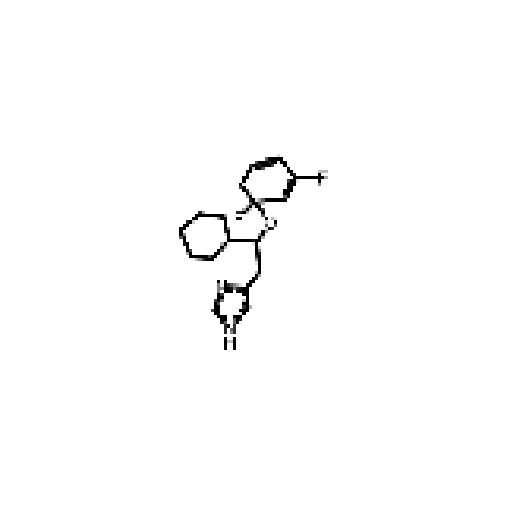 FC1=CC(F)(OC(Cc2c[nH]cn2)C2CCCCC2)[CH]C=C1